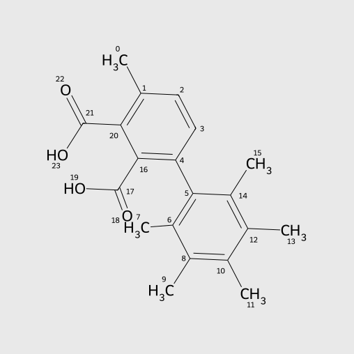 Cc1ccc(-c2c(C)c(C)c(C)c(C)c2C)c(C(=O)O)c1C(=O)O